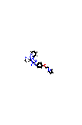 CC1(N)N=C(Nc2ccc(OCCN3CCCC3)cc2)NN1c1ccccn1